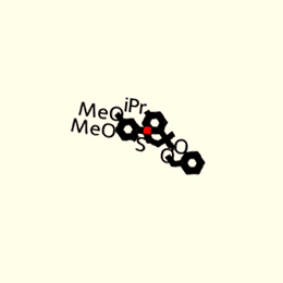 COc1cc2cc(CC(C)(C(=O)OCc3ccccc3)c3ccc(C(C)C)cc3)sc2cc1OC